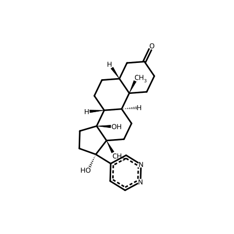 C[C@]12CCC(=O)C[C@H]1CC[C@@H]1[C@@H]2CC[C@]2(C)[C@@](O)(c3ccnnc3)CC[C@]12O